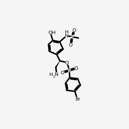 CS(=O)(=O)Nc1cc([C@H](CN)OS(=O)(=O)c2ccc(Br)cc2)ccc1O